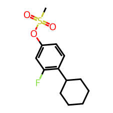 CS(=O)(=O)Oc1ccc(C2CCCCC2)c(F)c1